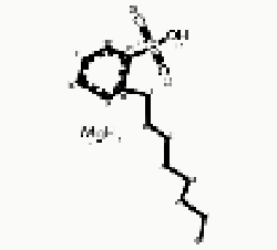 CCCCCCCCc1ccccc1S(=O)(=O)O.[MgH2]